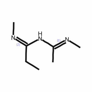 CC/C(=N/C)N/C(C)=N/C